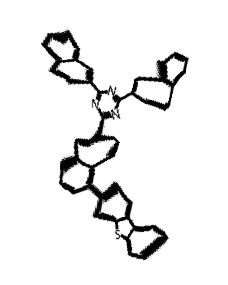 c1ccc2cc(-c3nc(-c4ccc5ccccc5c4)nc(-c4ccc5c(-c6ccc7c(c6)sc6ccccc67)cccc5c4)n3)ccc2c1